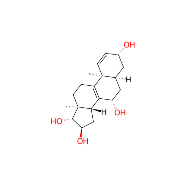 C[C@]12CCC3=C([C@@H](O)C[C@@H]4C[C@@H](O)C=C[C@]34C)[C@@H]1C[C@@H](O)[C@@H]2O